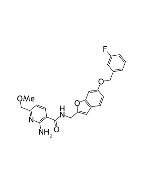 COCc1ccc(C(=O)NCc2cc3ccc(OCc4cccc(F)c4)cc3o2)c(N)n1